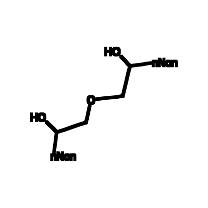 CCCCCCCCCC(O)COCC(O)CCCCCCCCC